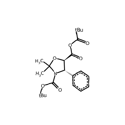 CC(C)(C)OC(=O)N1[C@@H](c2ccccc2)[C@H](C(=O)OC(=O)C(C)(C)C)OC1(C)C